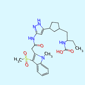 CCC(CC1CCC(c2cc(NC(=O)Cc3c(S(C)(=O)=O)c4ccccc4n3C)n[nH]2)C1)NC(=O)O